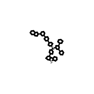 c1ccc(-c2cc(-c3ccccc3)cc(N(c3ccc(-c4ccc(-c5cccc(-c6ccc7ccccc7c6)c5)cc4)cc3)c3ccc(-c4cccc5sc6ccccc6c45)cc3)c2)cc1